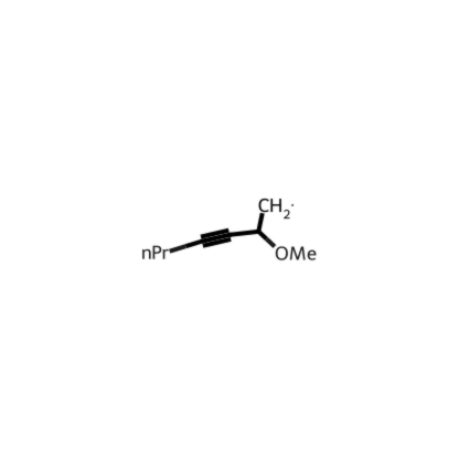 [CH2]C(C#CCCC)OC